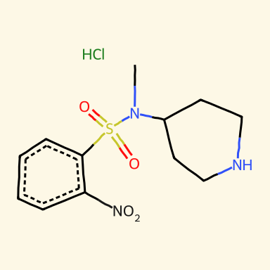 CN(C1CCNCC1)S(=O)(=O)c1ccccc1[N+](=O)[O-].Cl